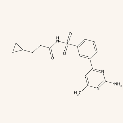 Cc1cc(-c2cccc(S(=O)(=O)NC(=O)CCC3CC3)c2)nc(N)n1